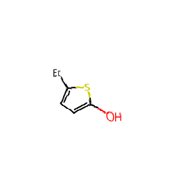 CCc1ccc(O)s1